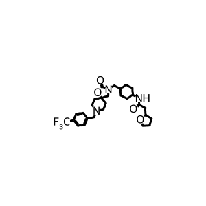 O=C(CC1CCCO1)NC1CCC(CN2CC3(CCN(Cc4ccc(C(F)(F)F)cc4)CC3)OC2=O)CC1